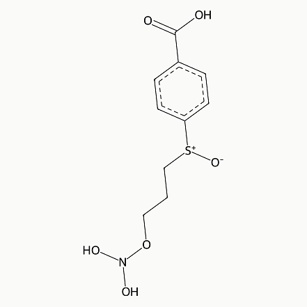 O=C(O)c1ccc([S+]([O-])CCCON(O)O)cc1